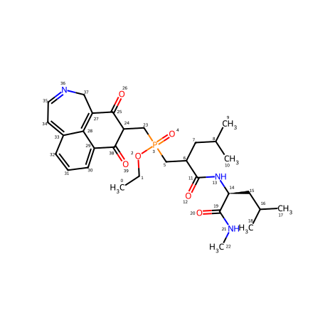 CCOP(=O)(CC(CC(C)C)C(=O)N[C@@H](CC(C)C)C(=O)NC)CC1C(=O)C2=c3c(cccc3=CC=NC2)C1=O